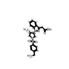 CCc1ccc(S(=O)(=O)N2C[C@@H](C)[C@@H](n3nc(CC(=O)O)c4ccccc43)C2)cc1